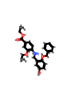 CCOC(=O)c1ccc(NCc2cc(Br)ccc2OCc2ccccc2)c(OCC)c1